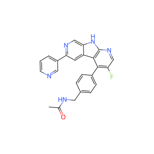 CC(=O)NCc1ccc(-c2c(F)cnc3[nH]c4cnc(-c5cccnc5)cc4c23)cc1